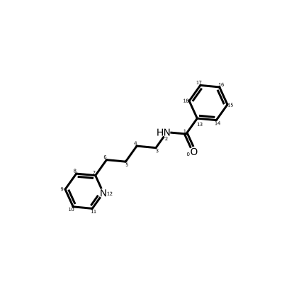 O=C(NCCCCc1ccccn1)c1ccccc1